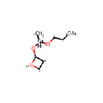 CC(=O)OCCO[SiH](C)OC1CCO1